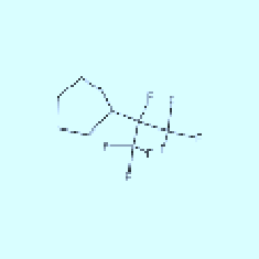 FC(F)(F)C(F)(C1CCCCC1)C(F)(F)F